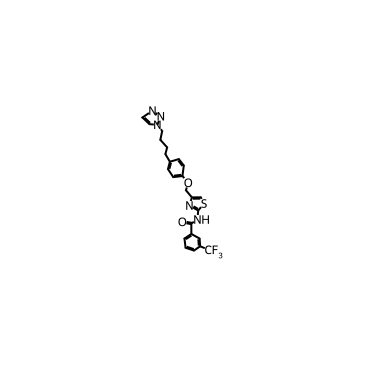 O=C(Nc1nc(COc2ccc(CCCCn3ccnn3)cc2)cs1)c1cccc(C(F)(F)F)c1